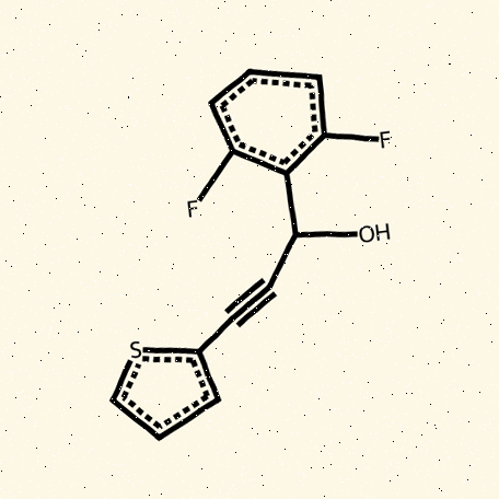 OC(C#Cc1cccs1)c1c(F)cccc1F